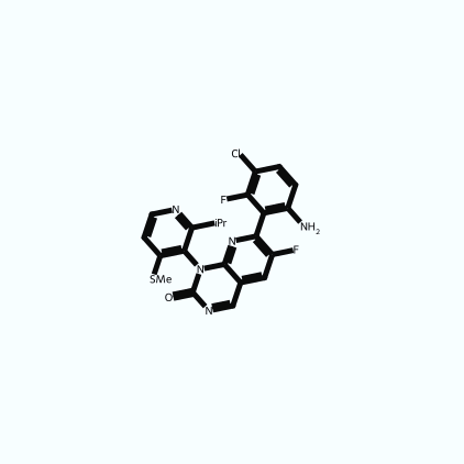 CSc1ccnc(C(C)C)c1-n1c(=O)ncc2cc(F)c(-c3c(N)ccc(Cl)c3F)nc21